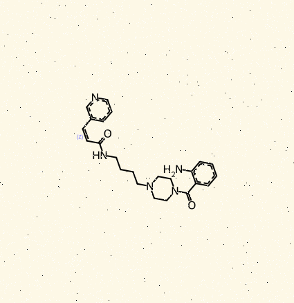 Nc1ccccc1C(=O)N1CCN(CCCCNC(=O)/C=C\c2cccnc2)CC1